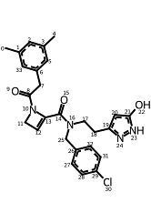 Cc1cc(C)cc(CC(=O)N2CC=C2C(=O)N(CCc2cc(O)[nH]n2)Cc2ccc(Cl)cc2)c1